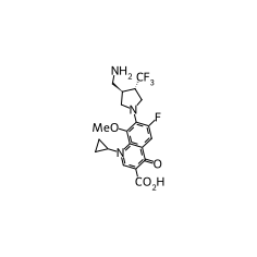 COc1c(N2C[C@@H](CN)[C@H](C(F)(F)F)C2)c(F)cc2c(=O)c(C(=O)O)cn(C3CC3)c12